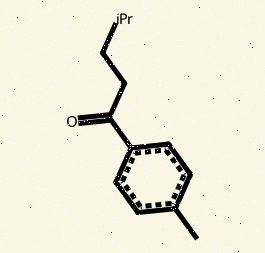 Cc1ccc(C(=O)CCC(C)C)cc1